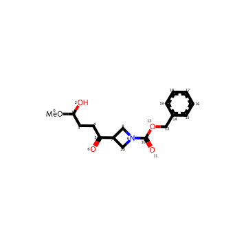 COC(O)CCC(=O)C1CN(C(=O)OCc2ccccc2)C1